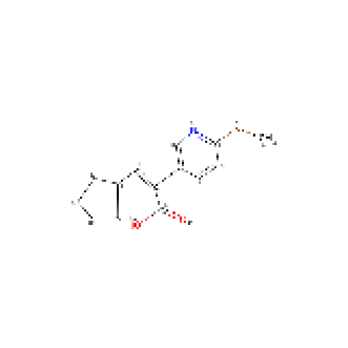 CSc1ccc(C(=CC2CCCC2)C(=O)O)cn1